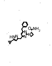 NC(=O)[C@@H]1CCN1c1nc(Cc2ccccc2)cc(Cc2cc(C3CC3)[nH]n2)n1